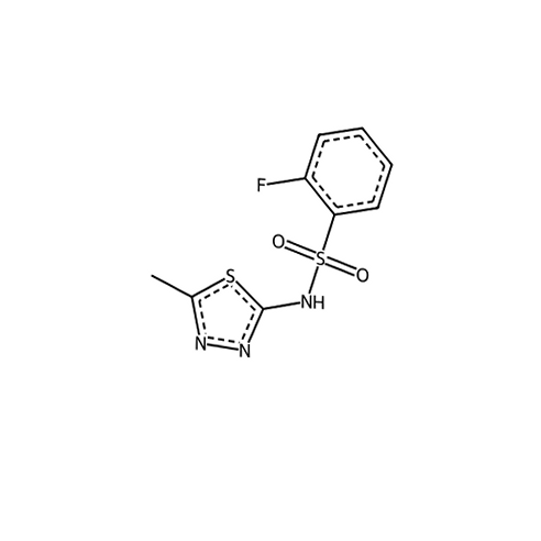 Cc1nnc(NS(=O)(=O)c2ccccc2F)s1